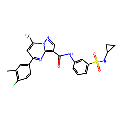 Cc1cc(-c2cc(C(F)(F)F)n3ncc(C(=O)Nc4cccc(S(=O)(=O)NC5CC5)c4)c3n2)ccc1Cl